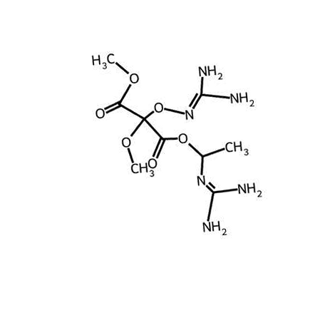 COC(=O)C(OC)(ON=C(N)N)C(=O)OC(C)N=C(N)N